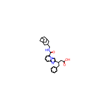 O=C(O)CC(Cc1ccccc1)c1cn2c(C(=O)NCC3CC4CC5CC(C3)(C4)C5)cccc2n1